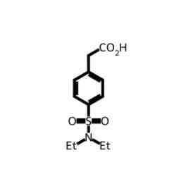 CCN(CC)S(=O)(=O)c1ccc(CC(=O)O)cc1